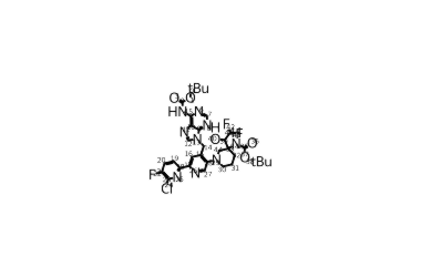 CC(C)(C)OC(=O)Nc1ncnc2c1ncn2Cc1cc(-c2ccc(F)c(Cl)n2)ncc1N1CCCC(NC(=O)OC(C)(C)C)(C(O)C(F)F)C1